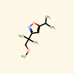 COCC(C)(C)c1cc(C(C)C)on1